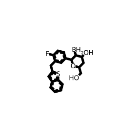 BC1C(O)CC(CO)OC1c1ccc(F)c(Cc2cc3ccccc3s2)c1